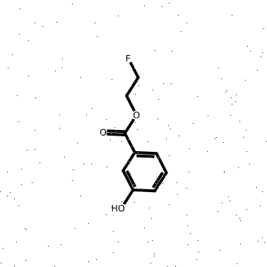 O=C(OCCF)c1cccc(O)c1